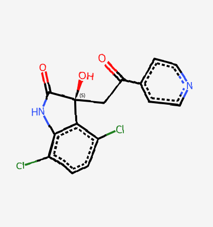 O=C(C[C@@]1(O)C(=O)Nc2c(Cl)ccc(Cl)c21)c1ccncc1